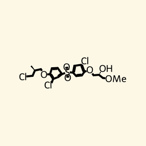 COC[C@@H](O)COc1ccc(S(=O)(=O)c2ccc(OC[C@H](C)CCl)c(Cl)c2)cc1Cl